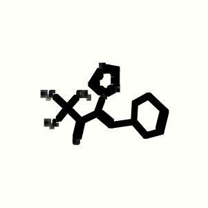 CC(C)(C)C(=O)C(=CC1CC=CCC1)n1cncn1